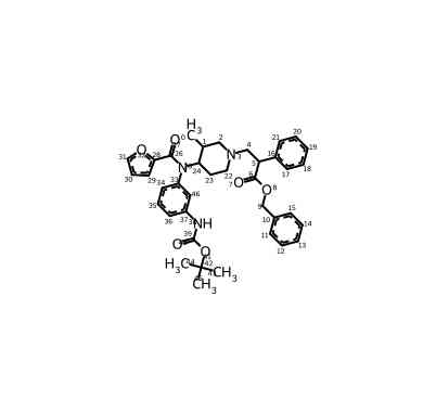 CC1CN(CC(C(=O)OCc2ccccc2)c2ccccc2)CCC1N(C(=O)c1ccco1)c1cccc(NC(=O)OC(C)(C)C)c1